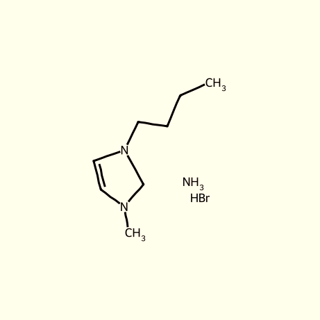 Br.CCCCN1C=CN(C)C1.N